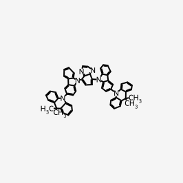 CC1(C)c2ccccc2N(c2ccc3c(c2)c2ccccc2n3-c2ccc(-n3c4ccccc4c4cc(N5c6ccccc6C(C)(C)c6ccccc65)ccc43)c3nccnc23)c2ccccc21